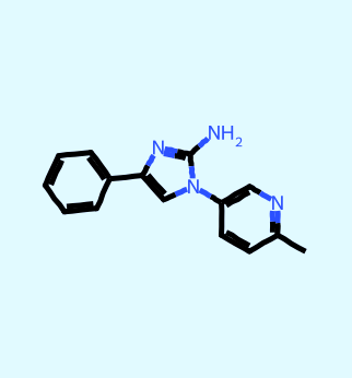 Cc1ccc(-n2cc(-c3ccccc3)nc2N)cn1